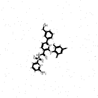 Cc1cc(C)c(Oc2nc(-c3cccc(CO)c3)ccc2C(=O)NS(=O)(=O)c2cccc(N)n2)c(C)c1